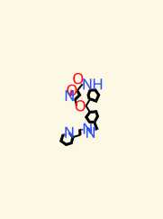 Cc1cc(C(=O)Nc2cccc(C(=O)c3ccc4cnn(C=Cc5ccccn5)c4c3)c2)on1